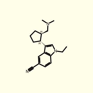 CCn1cc([C@@H]2CCC[C@H]2CN(C)C)c2cc(C#N)ccc21